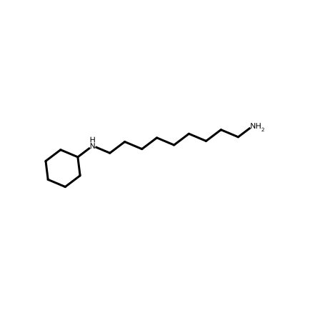 NCCCCCCCCCNC1CCCCC1